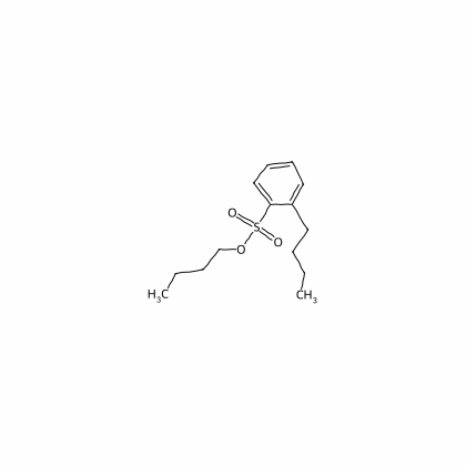 CCCCOS(=O)(=O)c1ccccc1CCCC